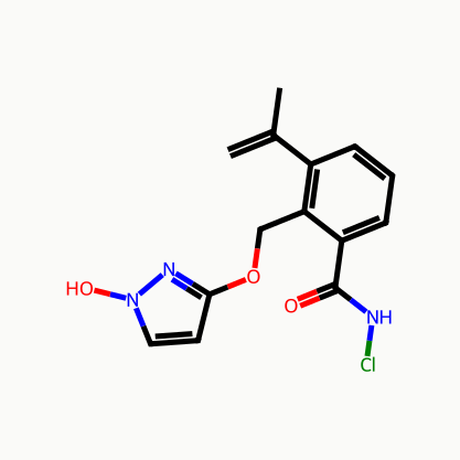 C=C(C)c1cccc(C(=O)NCl)c1COc1ccn(O)n1